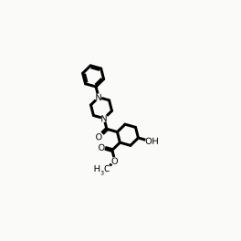 COC(=O)C1CC(O)CCC1C(=O)N1CCN(c2ccccc2)CC1